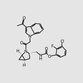 CC(=O)c1cn(CC(=O)N2[C@H](CNC(=O)Oc3cccc(Cl)c3F)C[C@H]3C[C@H]32)c2ccccc12